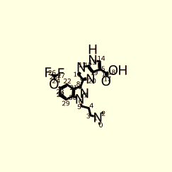 CN(C)CCCn1nc(-c2cnc3[nH]cc(C(=O)O)c3n2)c2cc(OC(F)F)ccc21